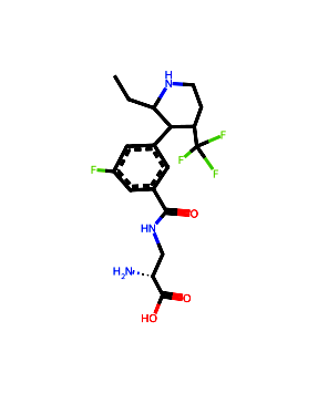 CCC1NCCC(C(F)(F)F)C1c1cc(F)cc(C(=O)NC[C@@H](N)C(=O)O)c1